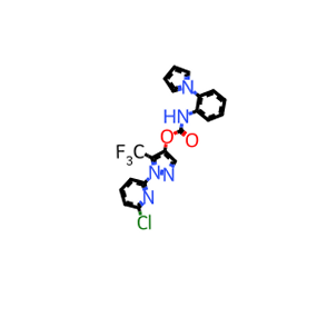 O=C(Nc1ccccc1-n1cccc1)Oc1cnn(-c2cccc(Cl)n2)c1C(F)(F)F